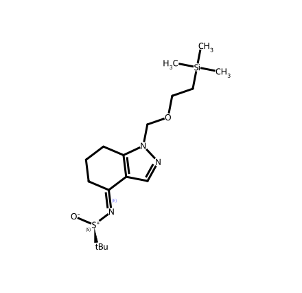 CC(C)(C)[S@@+]([O-])/N=C1\CCCc2c1cnn2COCC[Si](C)(C)C